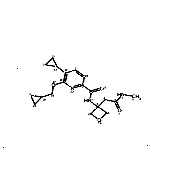 CNC(=O)CC1(NC(=O)c2ccc(C3CC3)c(OCC3CC3)n2)COC1